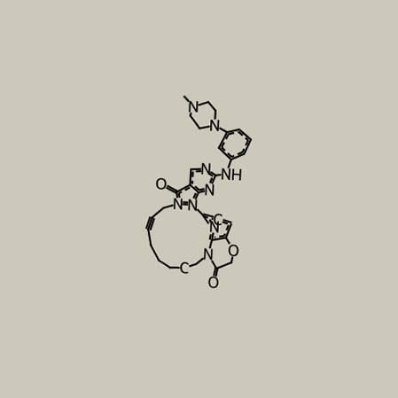 CN1CCN(c2cccc(Nc3ncc4c(=O)n5n(c4n3)-c3ccc4c(n3)N(CCCCCC#CC5)C(=O)CO4)c2)CC1